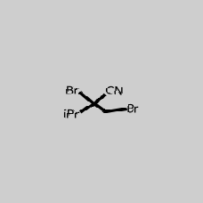 CC(C)C(Br)(C#N)CBr